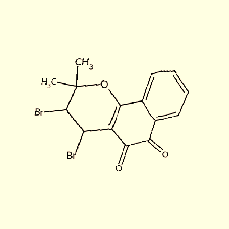 CC1(C)OC2=C(C(=O)C(=O)c3ccccc32)C(Br)C1Br